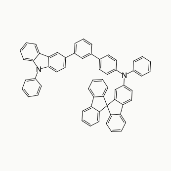 c1ccc(N(c2ccc(-c3cccc(-c4ccc5c(c4)c4ccccc4n5-c4ccccc4)c3)cc2)c2ccc3c(c2)C2(c4ccccc4-c4ccccc42)c2ccccc2-3)cc1